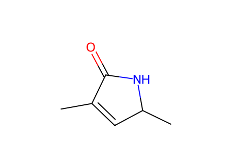 CC1=CC(C)NC1=O